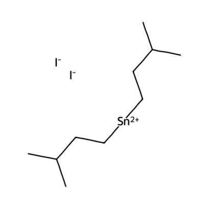 CC(C)C[CH2][Sn+2][CH2]CC(C)C.[I-].[I-]